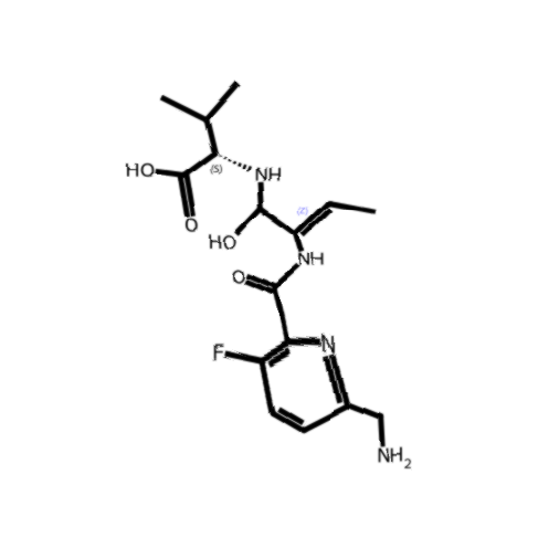 C/C=C(\NC(=O)c1nc(CN)ccc1F)C(O)N[C@H](C(=O)O)C(C)C